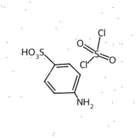 Nc1ccc(S(=O)(=O)O)cc1.O=S(=O)(Cl)Cl